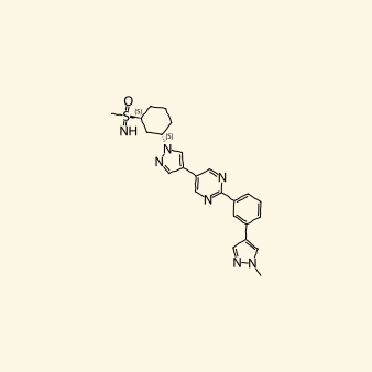 Cn1cc(-c2cccc(-c3ncc(-c4cnn([C@H]5CCC[C@H](S(C)(=N)=O)C5)c4)cn3)c2)cn1